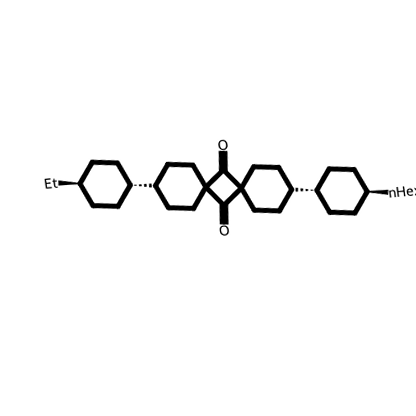 CCCCCC[C@H]1CC[C@H](C2CCC3(CC2)C(=O)C2(CCC([C@H]4CC[C@H](CC)CC4)CC2)C3=O)CC1